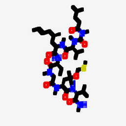 C/C=C/C[C@@H](C)CC(C(=O)N[C@@H](CC)C(=O)N(C)CC(=O)N(C)[C@@H](CC(C)(C)OCSC)C(=O)N[C@@H](C(=O)NC)C(C)C)N(C)C(=O)[C@H](C(C)C)N(C)C(=O)N(C)C(=O)CCC(C)C